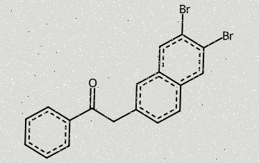 O=C(Cc1ccc2cc(Br)c(Br)cc2c1)c1ccccc1